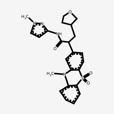 CN1c2ccccc2S(=O)(=O)c2ccc(C(CC3CCOC3)C(=O)Nc3ccn(C)n3)cc21